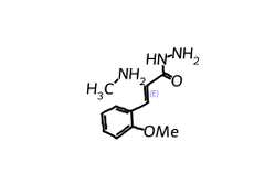 CN.COc1ccccc1/C=C/C(=O)NN